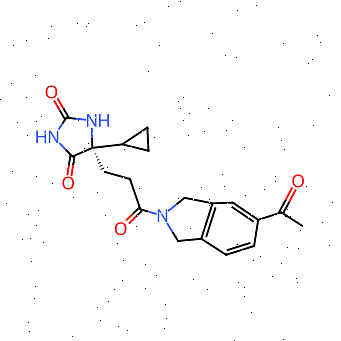 CC(=O)c1ccc2c(c1)CN(C(=O)CC[C@@]1(C3CC3)NC(=O)NC1=O)C2